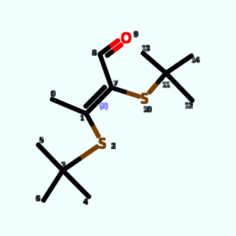 C/C(SC(C)(C)C)=C(\C=O)SC(C)(C)C